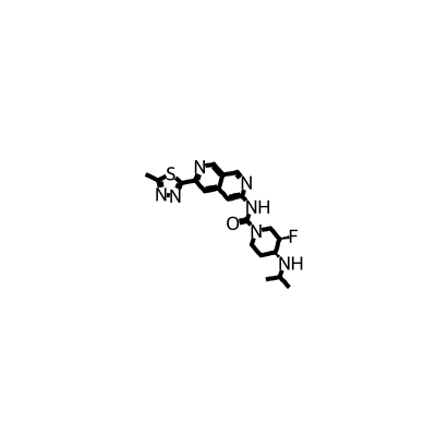 Cc1nnc(-c2cc3cc(NC(=O)N4CC[C@H](NC(C)C)[C@H](F)C4)ncc3cn2)s1